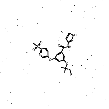 CC(F)(CF)Oc1cc(Oc2ccc(S(C)(=O)=O)nc2)cc(C(=O)Nc2cc[nH]n2)c1